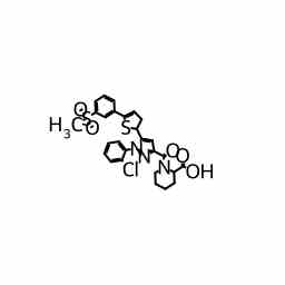 CS(=O)(=O)c1cccc(C2=CCC(c3cc(C(=O)N4CCCCC4C(=O)O)nn3-c3ccccc3Cl)S2)c1